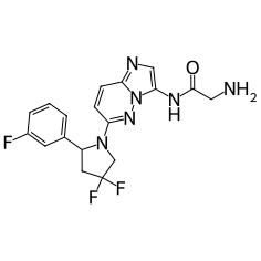 NCC(=O)Nc1cnc2ccc(N3CC(F)(F)CC3c3cccc(F)c3)nn12